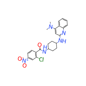 CN(C)c1cc(NC2CCC(NC(=O)c3ccc([N+](=O)[O-])cc3Cl)CC2)nc2ccccc12